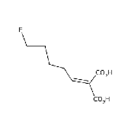 O=C(O)C(=CCCCCF)C(=O)O